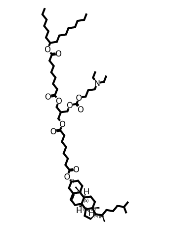 CCCCCCCCC(CCCCCC)OC(=O)CCCCCCC(=O)OCC(COC(=O)CCCCCCC(=O)O[C@H]1CC[C@@]2(C)C(=CC[C@H]3[C@@H]4CC[C@H]([C@H](C)CCCC(C)C)[C@@]4(C)CC[C@@H]32)C1)COC(=O)OCCCN(CC)CC